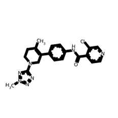 CC1=C(c2ccc(NC(=O)c3ccncc3Cl)cc2)CN(c2nnn(C)n2)CC1